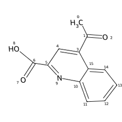 CC(=O)c1cc(C(=O)O)nc2ccccc12